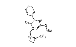 CN1CC[C@H]1COC(=O)C(NC(=O)OC(C)(C)C)c1ccccc1